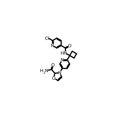 NC(=O)C1OC=CN1c1ccc(C2(NC(=O)c3ccc(Cl)nc3)CCC2)nc1